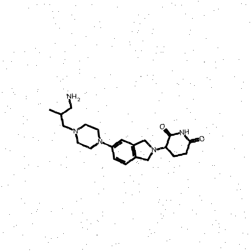 CC(CN)CN1CCN(c2ccc3c(c2)CN(C2CCC(=O)NC2=O)C3)CC1